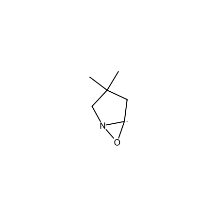 CC1(C)C[C]2ON2C1